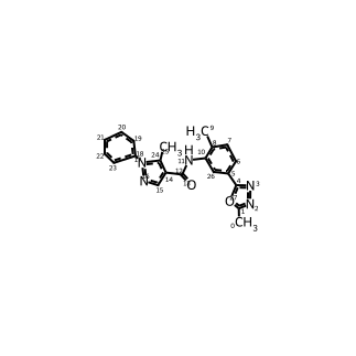 Cc1nnc(-c2ccc(C)c(NC(=O)c3cnn(-c4ccccc4)c3C)c2)o1